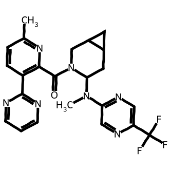 Cc1ccc(-c2ncccn2)c(C(=O)N2CC3CC3CC2N(C)c2cnc(C(F)(F)F)cn2)n1